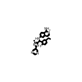 CCc1ccc(F)c(C(Nc2ccc3c(N)nccc3c2)c2nc(-c3cncnc3)nn2C)c1